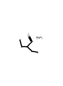 CCC(C=O)CC.[MgH2]